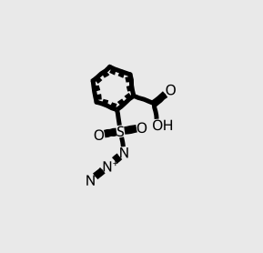 [N-]=[N+]=NS(=O)(=O)c1ccccc1C(=O)O